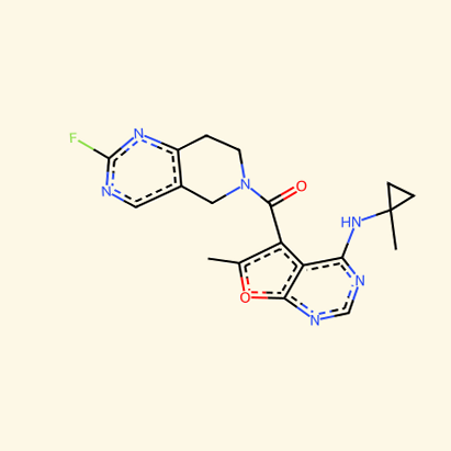 Cc1oc2ncnc(NC3(C)CC3)c2c1C(=O)N1CCc2nc(F)ncc2C1